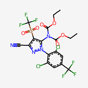 CCOC(=O)N(C(=O)OCC)c1c(S(=O)(=O)C(F)(F)F)c(C#N)nn1-c1c(Cl)cc(C(F)(F)F)cc1Cl